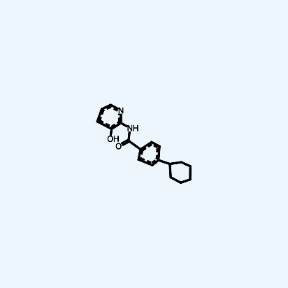 O=C(Nc1ncccc1O)c1ccc(C2CCCCC2)cc1